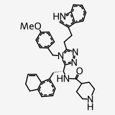 COc1ccc(Cn2c(CCc3c[nH]c4ccccc34)nnc2[C@@H](Cc2cccc3c2C=CCC3)NC(=O)C2CCNCC2)cc1